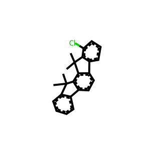 CC1(C)c2ccccc2-c2ccc3c(c21)C(C)(C)c1c(Cl)cccc1-3